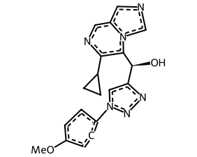 COc1ccc(-n2cc([C@H](O)c3c(C4CC4)ncc4cncn34)nn2)cc1